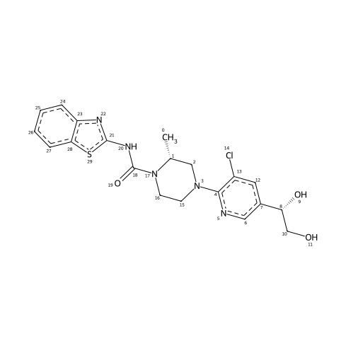 C[C@@H]1CN(c2ncc([C@H](O)CO)cc2Cl)CCN1C(=O)Nc1nc2ccccc2s1